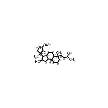 COCCC(C)(CO)C1C(O)CC2[C@H]3CCC[C@@](C)(CCC(C)O)C3CC[C@@]21C